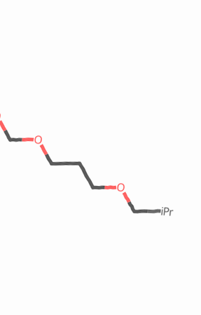 CC(C)COCCCOC[O]